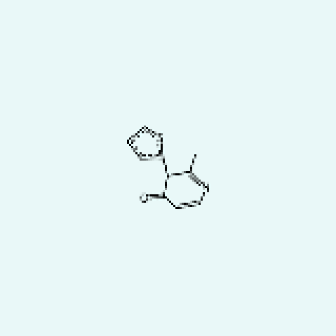 CC1=NC=CC(=O)C1c1cccs1